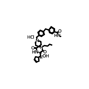 CCCCN1C(=O)[C@@H]([C@H](O)C2CC=CC2)NC(=O)C12CCN(Cc1ccc(Cc3ccc(C(=O)NC)cc3)cc1)CC2.Cl